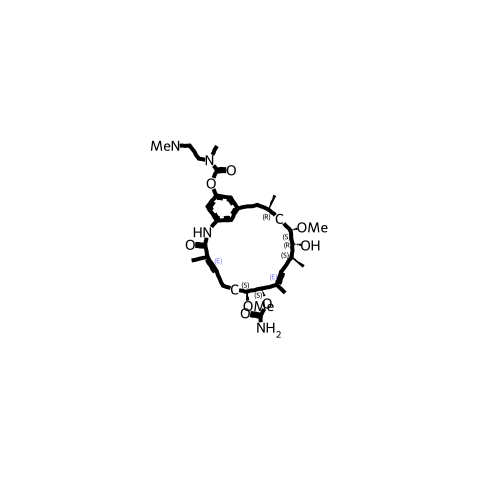 CNCCN(C)C(=O)Oc1cc2cc(c1)NC(=O)/C(C)=C/CC[C@H](OC)[C@@H](OC(N)=O)/C(C)=C/[C@H](C)[C@@H](O)[C@@H](OC)C[C@H](C)C2